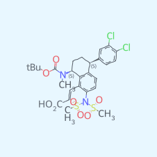 CN(C(=O)OC(C)(C)C)[C@H]1CC[C@@H](c2ccc(Cl)c(Cl)c2)c2ccc(N(S(C)(=O)=O)S(C)(=O)=O)c(C=CC(=O)O)c21